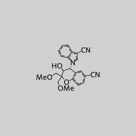 COCC1(COC)Oc2ccc(C#N)cc2[C@@H](n2cc(C#N)c3ccccc32)[C@@H]1O